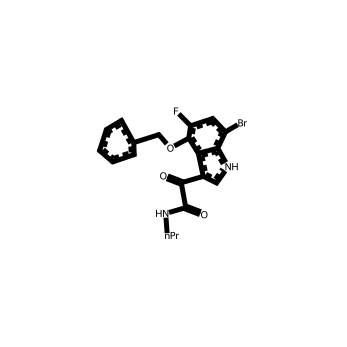 CCCNC(=O)C(=O)c1c[nH]c2c(Br)cc(F)c(OCc3ccccc3)c12